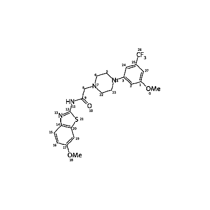 COc1cc(N2CCN(CC(=O)Nc3nc4ccc(OC)cc4s3)CC2)cc(C(F)(F)F)c1